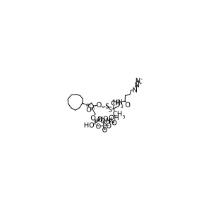 CC(C)(CNC(=O)CCCN=[N+]=[N-])SSCOC1C[C@H](C2CCCCCCCCC2)O[C@@H]1COP(=O)(O)OP(=O)(O)OP(=O)(O)O